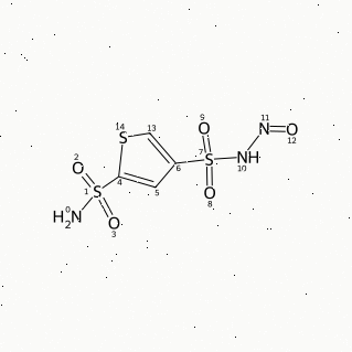 NS(=O)(=O)c1cc(S(=O)(=O)NN=O)cs1